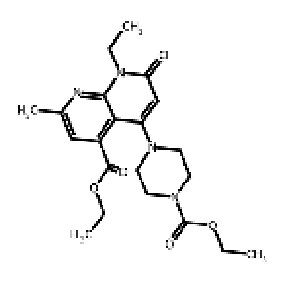 CCOC(=O)c1cc(C)nc2c1c(N1CCN(C(=O)OCC)CC1)cc(=O)n2CC